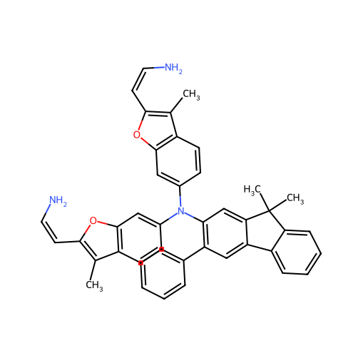 Cc1c(/C=C\N)oc2cc(N(c3ccc4c(C)c(/C=C\N)oc4c3)c3cc4c(cc3-c3ccccc3)-c3ccccc3C4(C)C)ccc12